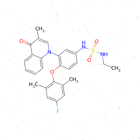 CCNS(=O)(=O)Nc1ccc(Oc2c(C)cc(F)cc2C)c(-n2cc(C)c(=O)c3ccccc32)c1